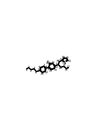 CCCCCc1ccc(-c2ccc(C(CCCC)Cc3cccs3)cc2F)cc1